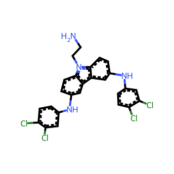 NCCn1c2ccc(Nc3ccc(Cl)c(Cl)c3)cc2c2cc(Nc3ccc(Cl)c(Cl)c3)ccc21